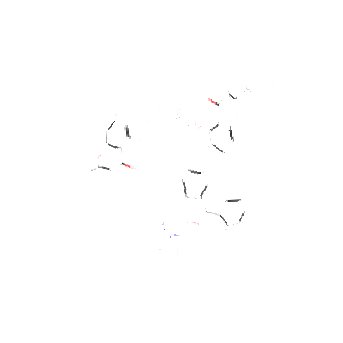 CN(C)CCOC(c1ccccc1)c1ccccc1.Cl.O=C(O)c1cc(=O)c2cc(OCC(O)COc3cccc4oc(C(=O)O)cc(=O)c34)ccc2o1